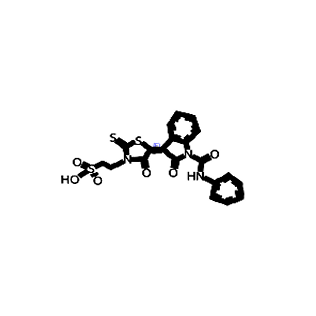 O=C1/C(=C2\C(=O)N(C(=O)Nc3ccccc3)c3ccccc32)SC(=S)N1CCS(=O)(=O)O